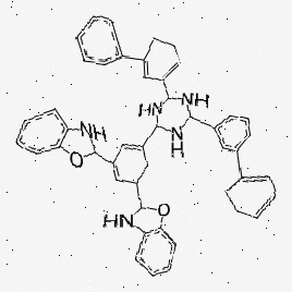 C1=CCCC(c2cccc(C3NC(C4=CCCC(c5ccccc5)=C4)NC(C4=CC(C5Nc6ccccc6O5)=CC(C5Nc6ccccc6O5)C4)N3)c2)=C1